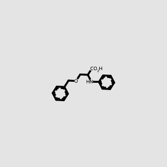 O=C(O)C(COCc1ccccc1)Nc1ccccc1